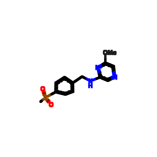 COc1cncc(NCc2ccc(S(C)(=O)=O)cc2)n1